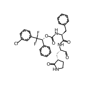 O=C[C@H](C[C@@H]1CCNC1=O)NC(=O)[C@H](Cc1ccccc1)NC(=O)O[C@H](c1ccccc1)C(F)(F)c1cccc(Cl)c1